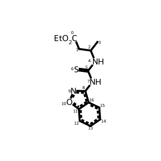 CCOC(=O)CC(C)NC(=S)Nc1noc2ccccc12